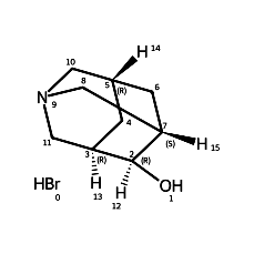 Br.O[C@H]1[C@@H]2C[C@H]3C[C@H]1CN(C3)C2